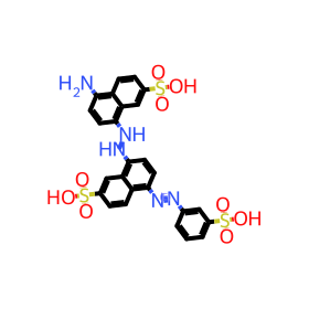 Nc1ccc(NNc2ccc(/N=N/c3cccc(S(=O)(=O)O)c3)c3ccc(S(=O)(=O)O)cc23)c2cc(S(=O)(=O)O)ccc12